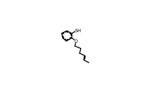 CC=CCCCOc1ccccc1S